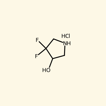 Cl.OC1CNCC1(F)F